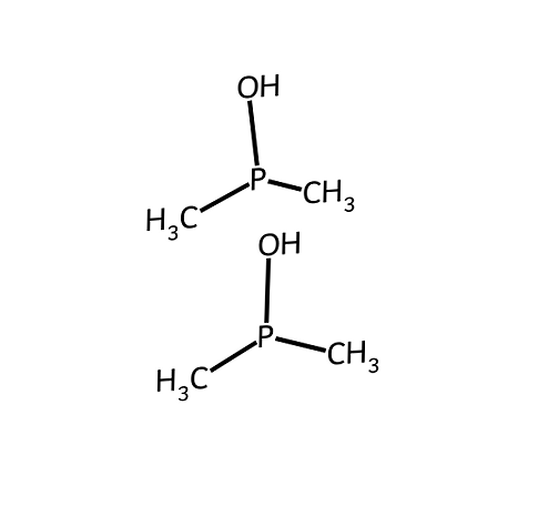 CP(C)O.CP(C)O